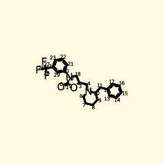 O=C1OC(CN2CCCCC2Cc2ccccc2)CN1c1cccc(C(F)(F)F)c1